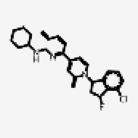 C=C/C=C\C(=N/CNC1CCCCC1)C1=CC(=C)N(C2CC(F)c3c(Cl)cccc32)C=C1